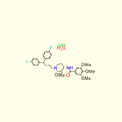 COc1cc(C(=O)N[C@H]2CCN(CCCC(c3ccc(F)cc3)c3ccc(F)cc3)C[C@@H]2OC)cc(OC)c1OC.Cl.O